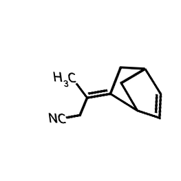 C/C(CC#N)=C1\CC2C=CC1C2